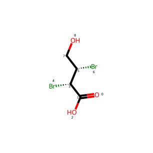 O=C(O)[C@H](Br)[C@@H](Br)CO